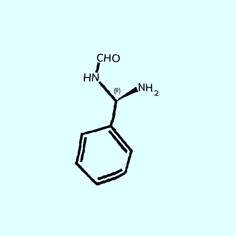 N[C@H](NC=O)c1ccccc1